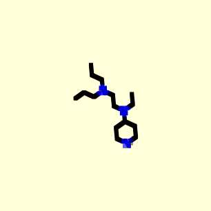 CCCN(CCC)CCN(CC)C1CC[N]CC1